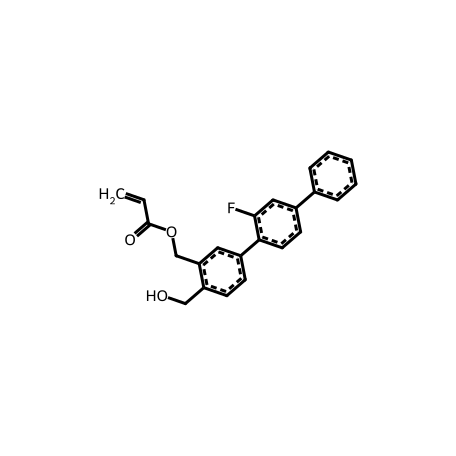 C=CC(=O)OCc1cc(-c2ccc(-c3ccccc3)cc2F)ccc1CO